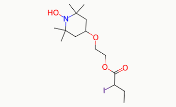 CCC(I)C(=O)OCCOC1CC(C)(C)N(O)C(C)(C)C1